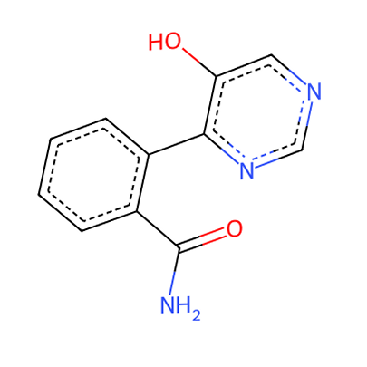 NC(=O)c1ccccc1-c1ncncc1O